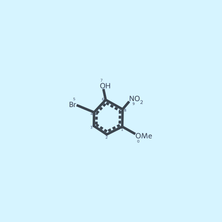 COc1ccc(Br)c(O)c1[N+](=O)[O-]